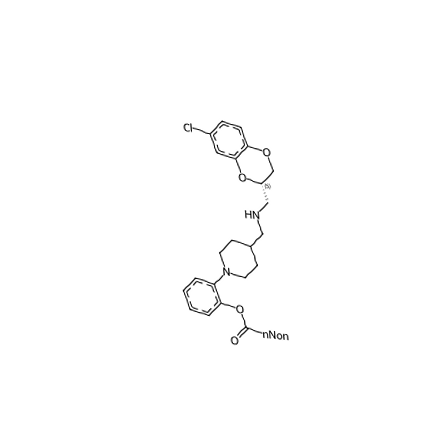 CCCCCCCCCC(=O)Oc1ccccc1N1CCC(CNC[C@H]2COc3ccc(Cl)cc3O2)CC1